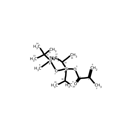 C=C(C)C(=O)O[Si](O[Si](C)(C)C(C)(C)C)(C(C)C)C(C)C